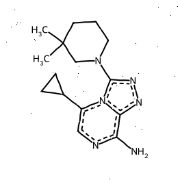 CC1(C)CCCN(c2nnc3c(N)ncc(C4CC4)n23)C1